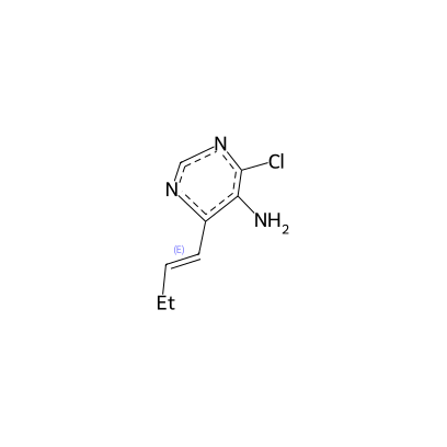 CC/C=C/c1ncnc(Cl)c1N